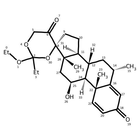 CCOC1(CC)OCC(=O)[C@]2(CC[C@H]3[C@@H]4C[C@H](C)C5=CC(=O)C=C[C@]5(C)[C@H]4[C@@H](O)C[C@@]32C)O1